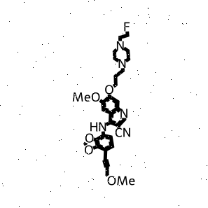 COCC#Cc1ccc(Nc2c(C#N)cnc3cc(OCCCN4CCN(CCF)CC4)c(OC)cc23)c2c1OCO2